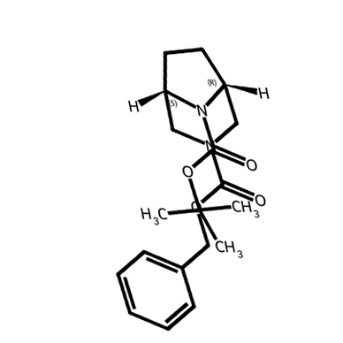 CC(C)(C)OC(=O)N1[C@@H]2CC[C@H]1CN(C(=O)OCc1ccccc1)C2